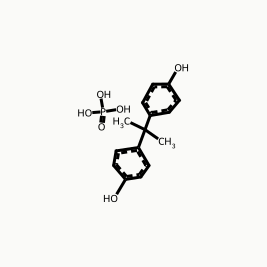 CC(C)(c1ccc(O)cc1)c1ccc(O)cc1.O=P(O)(O)O